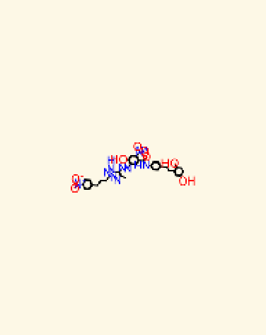 Cc1nn2c(CCCc3ccc([N+](=O)[O-])cc3)n[nH]c2c1N=Nc1cc(C(=O)Nc2ccc(CCc3cc(O)ccc3O)cc2)c([N+](=O)[O-])cc1O